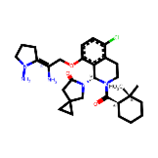 C[C@]1(C(=O)O)CCCC[C@H]1C(=O)N1CCc2c(Cl)ccc(OC/C(N)=C3\CCCN3N)c2[C@H]1N1CC2(CC2)CC1=O